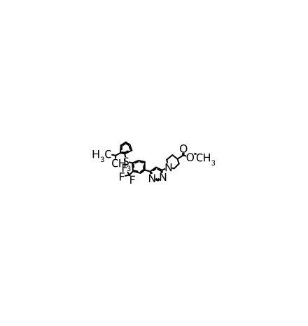 CCOC(=O)C1CCN(c2cc(-c3ccc(Sc4ccccc4C(C)C)c(C(F)(F)F)c3)ncn2)CC1